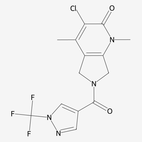 Cc1c2c(n(C)c(=O)c1Cl)CN(C(=O)c1cnn(C(F)(F)F)c1)C2